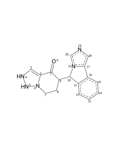 O=C1C2=CNNN2CCC1C1c2ccccc2-c2cncn21